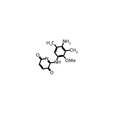 COc1c(NC2=NC(=O)C=CC2=O)cc(C)c(N)c1C